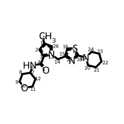 Cc1cc(C(=O)NC2CCOCC2)n(Cc2csc(N3CCCCC3)n2)c1